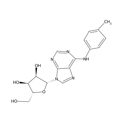 Cc1ccc(Nc2ncnc3c2ncn3[C@@H]2O[C@H](CO)[C@@H](O)[C@H]2O)cc1